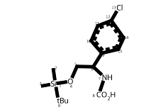 CC(C)(C)[Si](C)(C)OCC(NC(=O)O)c1ccc(Cl)cc1